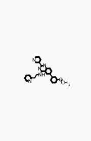 COc1cccc(-c2ccc3nc(-c4cccnc4)nc(NCCc4ccccn4)c3c2)c1